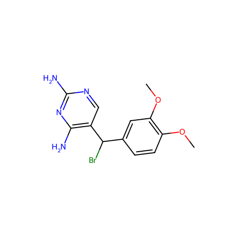 COc1ccc(C(Br)c2cnc(N)nc2N)cc1OC